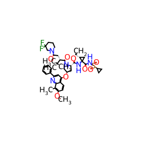 C=C[C@@H]1CC1(NC(=O)[C@@H]1C[C@@H](Oc2cc(-c3ccccc3)nc3c(C)c(OC)ccc23)CN1C(=O)[C@@H](CC(=O)N1CCCC(F)(F)C1)C(C)(C)C)C(=O)NS(=O)(=O)C1CC1